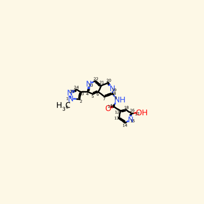 Cn1cc(-c2cc3cc(NC(=O)c4ccnc(O)c4)ncc3cn2)cn1